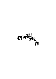 CN(CC[C@H]1CCOC1)C(C)(C)C(=O)Nc1cc(C(C)(C)COC2CCCCO2)no1